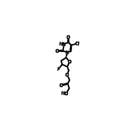 O=C(CO)COC[C@@H]1O[C@H](n2cc(Cl)c(=O)[nH]c2=O)CC1F